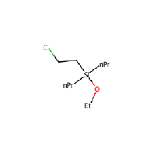 CCC[Si](CCC)(CCCl)OCC